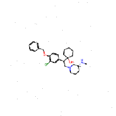 CN[C@@H]1CCCN(CC(c2ccc(OCc3ccccc3)c(Cl)c2)C2(O)CCCCC2)C1